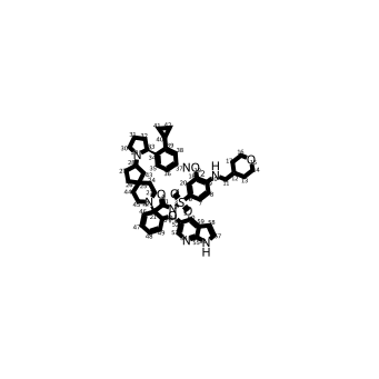 O=C(NS(=O)(=O)c1ccc(NCC2CCOCC2)c([N+](=O)[O-])c1)[C@@]1(N2CCC3(CCC(N4CCC[C@H]4c4ccccc4C4CC4)C3)CC2)C=CC=CC1Oc1cnc2[nH]ccc2c1